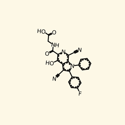 N#Cc1c(-c2ccc(F)cc2)n(-c2ccccc2)c2c(C#N)nc(C(=O)NCC(=O)O)c(O)c12